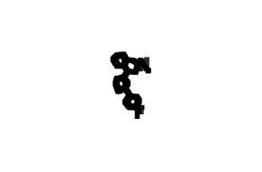 CN(C)C1Cc2ccccc2C(c2cccc(-c3ccc(F)cc3)c2)C1